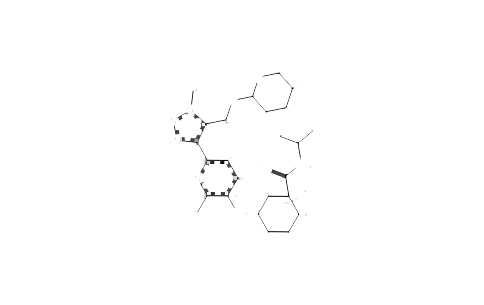 Cc1nc(-c2nnn(C)c2COC2CCCCO2)ccc1O[C@H]1CCC[C@](F)(C(=O)OC(C)C)C1